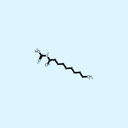 CCCCCCCCCC(Cl)OC(=O)O